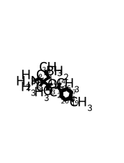 BC(C)(C)CC(C)(CN)C(=O)OC(C)(C)c1ccc(C)cc1